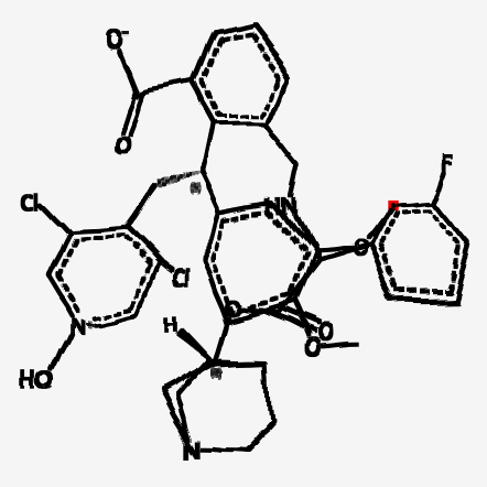 COc1ccc([C@H](Cc2c(Cl)c[n+](O)cc2Cl)c2c(CNC(C(=O)O[C@H]3CN4CCC3CC4)c3cccc(F)c3)cccc2C(=O)[O-])cc1OC